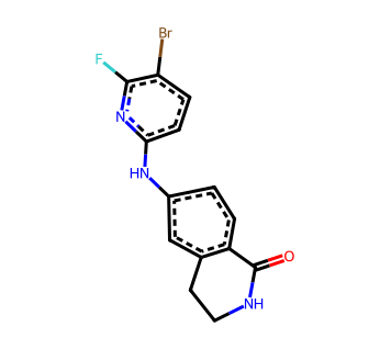 O=C1NCCc2cc(Nc3ccc(Br)c(F)n3)ccc21